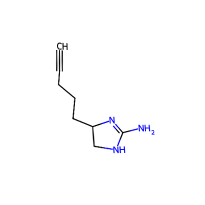 C#CCCCC1CNC(N)=N1